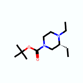 CC[C@@H]1CN(C(=O)OC(C)(C)C)CCN1CC